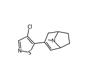 CN1C2C=C(c3sncc3Cl)CC1CC2